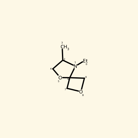 CCN1C(C)COC12COC2